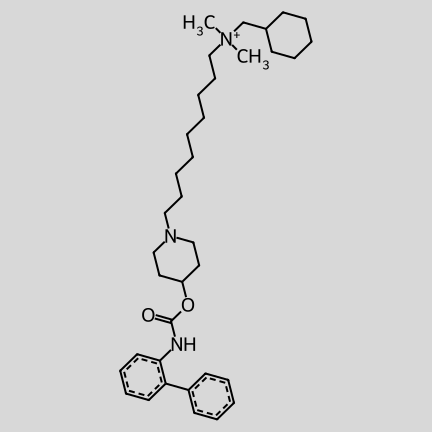 C[N+](C)(CCCCCCCCCN1CCC(OC(=O)Nc2ccccc2-c2ccccc2)CC1)CC1CCCCC1